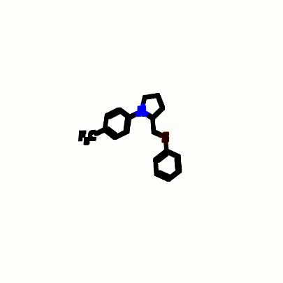 FC(F)(F)c1ccc(N2CCCC2CSc2ccccc2)cc1